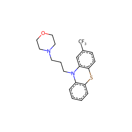 FC(F)(F)c1ccc2c(c1)N(CCCN1CCOCC1)c1ccccc1S2